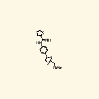 CNCc1nc(-c2ccc(NC(=N)c3cccs3)cc2)cs1